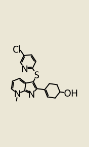 Cn1cccc2c(Sc3ccc(Cl)cn3)c(C3=CCC(O)CC3)nc1-2